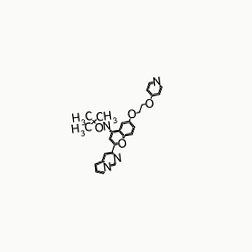 CC(C)(C)ON=c1cc(-c2cc3cccn3cn2)oc2ccc(OCCOc3ccncc3)cc12